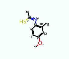 COc1ccc(/N=C(/C)S)c(C)c1